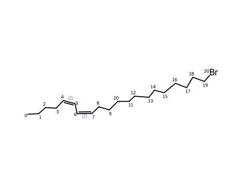 CCCC/C=C\C=C/CCCCCCCCCCCCBr